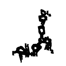 CN1CCN([C@H]2CC[C@H](n3cc(-c4ccc(Nc5nc6c(F)c(F)ccc6[nH]5)cc4)c4c(N)ncnc43)CC2)CC1